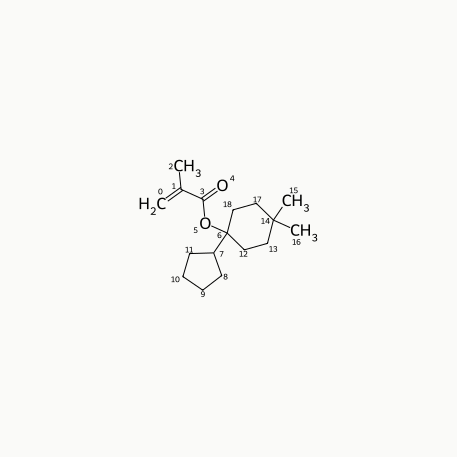 C=C(C)C(=O)OC1(C2CCCC2)CCC(C)(C)CC1